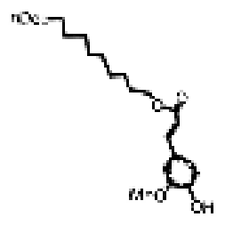 CCCCCCCCCCCCCCCCCCCOC(=O)C=Cc1ccc(O)c(OC)c1